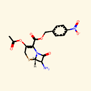 CC(=O)OC1=C(C(=O)OCc2ccc([N+](=O)[O-])cc2)N2C(=O)C(N)[C@@H]2SC1